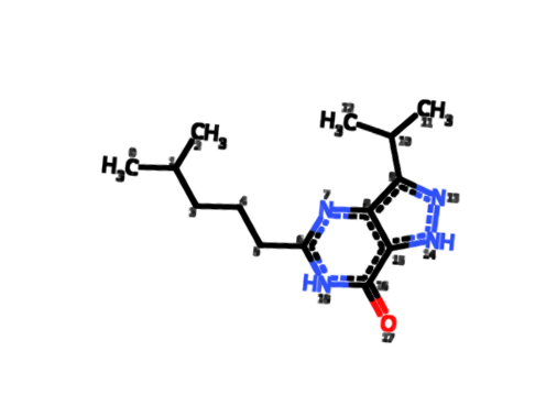 CC(C)CCCc1nc2c(C(C)C)n[nH]c2c(=O)[nH]1